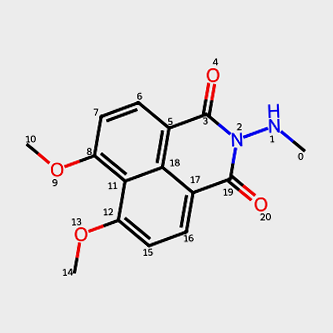 CNN1C(=O)c2ccc(OC)c3c(OC)ccc(c23)C1=O